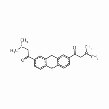 CN(C)CC(=O)c1ccc2c(c1)Cc1cc(C(=O)CN(C)C)ccc1S2